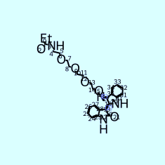 CCC(=O)NCCOCCOCCOCCO/N=C1/C(=C2/C(=O)Nc3ccccc32)Nc2ccccc21